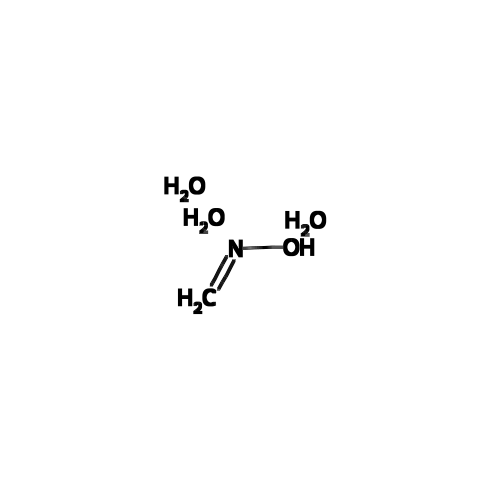 C=NO.O.O.O